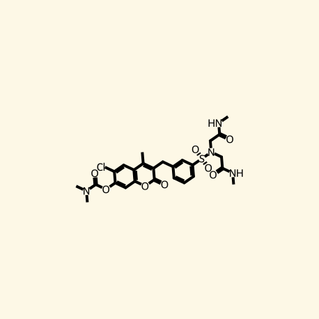 CNC(=O)CN(CC(=O)NC)S(=O)(=O)c1cccc(Cc2c(C)c3cc(Cl)c(OC(=O)N(C)C)cc3oc2=O)c1